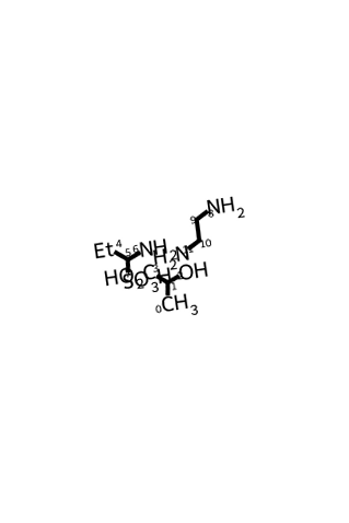 CC(O)C(=O)O.CCC(N)S(=O)(=O)O.NCCN